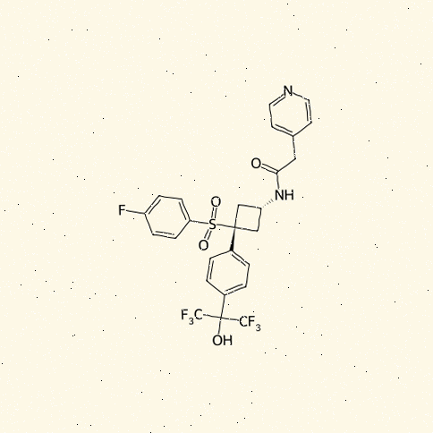 O=C(Cc1ccncc1)N[C@H]1C[C@@](c2ccc(C(O)(C(F)(F)F)C(F)(F)F)cc2)(S(=O)(=O)c2ccc(F)cc2)C1